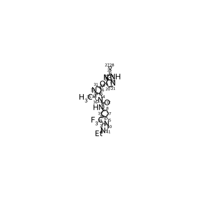 CCN1CCN(Cc2ccc(NC(=O)N3Cc4cc(Oc5ccnc6[nH]c(C7CC7)nc56)cnc4C(C)C3)cc2C(F)(F)F)CC1